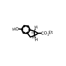 CCOC(=O)C1[C@H]2c3ccc(O)cc3C[C@@H]12